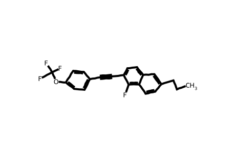 CCCc1ccc2c(F)c(C#Cc3ccc(OC(F)(F)F)cc3)ccc2c1